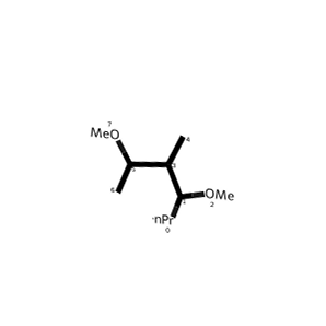 CC[CH]C(OC)C(C)C(C)OC